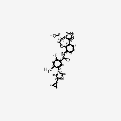 Cc1cc(F)c(C(=O)Nc2cccc3c2OC[C@H](CO)n2nnnc2-3)cc1-n1cnc(C2CC2)c1